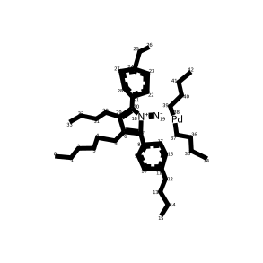 CCCCCCC1=C(c2ccc(CCCC)cc2)[N+](=[N-])C(c2ccc(CC)cc2)=C1CCCC.CCC[CH2][Pd][CH2]CCC